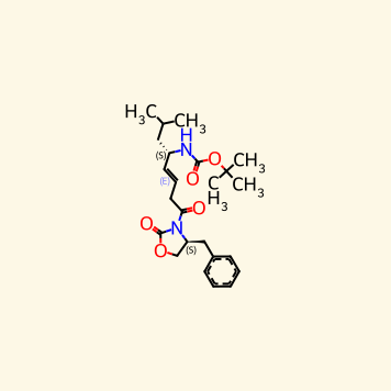 CC(C)C[C@@H](/C=C/CC(=O)N1C(=O)OC[C@@H]1Cc1ccccc1)NC(=O)OC(C)(C)C